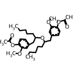 CCCCCC(Cc1ccc(OC(C)=O)c(OC)c1)OC(CCCCC)Cc1ccc(OC(C)=O)c(OC)c1